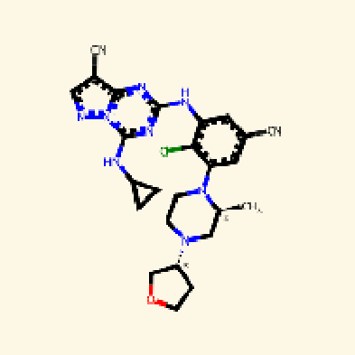 C[C@H]1CN([C@@H]2CCOC2)CCN1c1cc(C#N)cc(Nc2nc(NC3CC3)n3ncc(C#N)c3n2)c1Cl